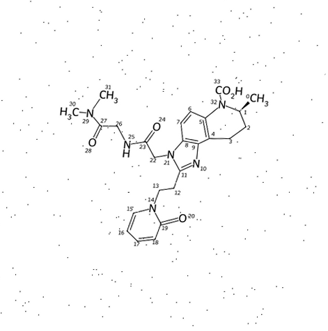 C[C@H]1CCc2c(ccc3c2nc(CCn2ccccc2=O)n3CC(=O)NCC(=O)N(C)C)N1C(=O)O